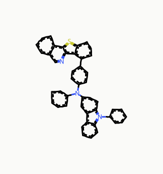 c1ccc(N(c2ccc(-c3cccc4sc5c6ccccc6cnc5c34)cc2)c2ccc3c(c2)c2ccccc2n3-c2ccccc2)cc1